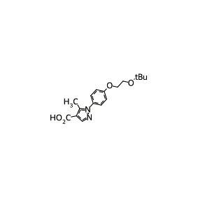 Cc1c(C(=O)O)cnn1-c1ccc(OCCOC(C)(C)C)cc1